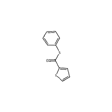 O=C(Sc1ccccc1)c1cccs1